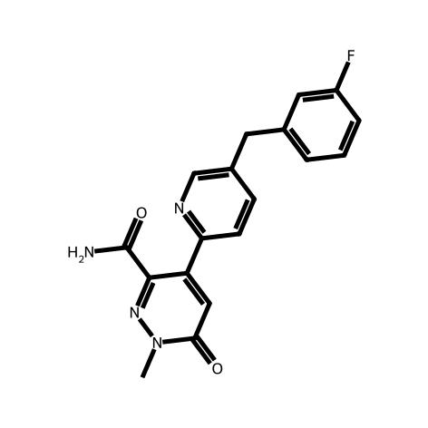 Cn1nc(C(N)=O)c(-c2ccc(Cc3cccc(F)c3)cn2)cc1=O